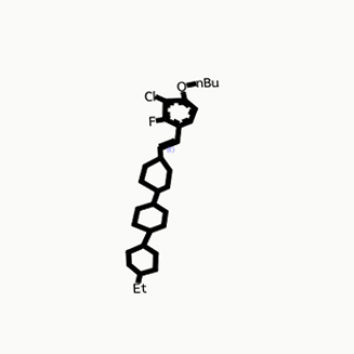 CCCCOc1ccc(/C=C/C2CCC(C3CCC(C4CCC(CC)CC4)CC3)CC2)c(F)c1Cl